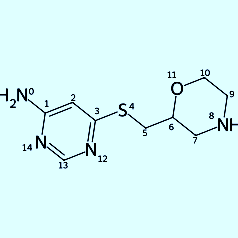 Nc1cc(SCC2CNCCO2)ncn1